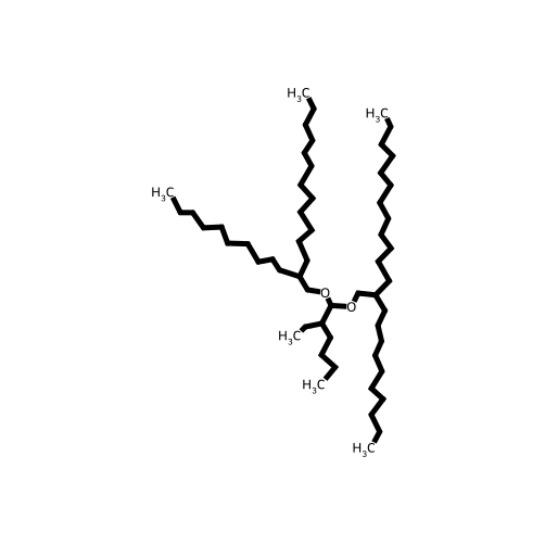 CCCCCCCCCCCCC(CCCCCCCCCC)COC(OCC(CCCCCCCCCC)CCCCCCCCCCCC)C(CC)CCCC